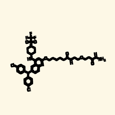 NNC(=O)CCOCCNC(=O)CCCCCOc1cc(NC2CCN(S(=O)(=O)C(F)(F)F)CC2)c2cc(C(c3ccc(Cl)cc3)c3ccc(Cl)cc3)ccc2n1